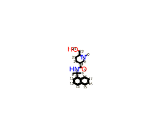 CN1C[C@@H](C(=O)NC(C)(C)c2cccc3ccccc23)CCC1CO